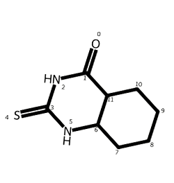 O=C1NC(=S)NC2CCCCC12